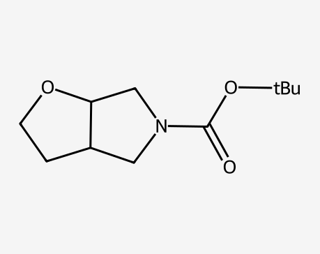 CC(C)(C)OC(=O)N1CC2CCOC2C1